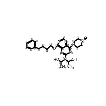 CC(O)N(c1nc(N2CC[S+]([O-])CC2)c2ncnc(OCCCCc3ccccc3)c2n1)C(C)O